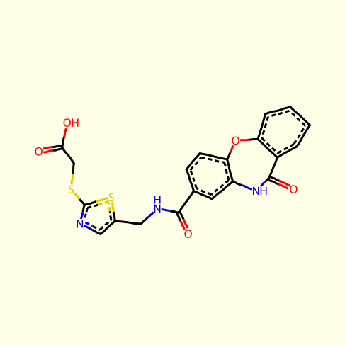 O=C(O)CSc1ncc(CNC(=O)c2ccc3c(c2)NC(=O)c2ccccc2O3)s1